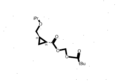 CC(C)OC[C@@H]1C[C@H]1C(=O)OCOC(=O)C(C)(C)C